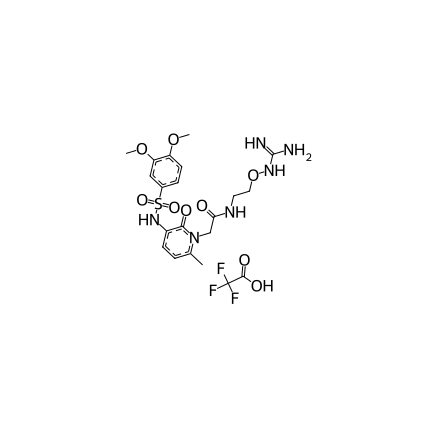 COc1ccc(S(=O)(=O)Nc2ccc(C)n(CC(=O)NCCONC(=N)N)c2=O)cc1OC.O=C(O)C(F)(F)F